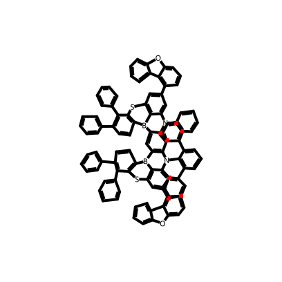 c1ccc(-c2ccc3c(c2-c2ccccc2)Sc2cc(-c4cccc5oc6ccccc6c45)cc4c2B3c2cc3c(cc2N4c2ccccc2)N(c2c(-c4ccccc4)cccc2-c2ccccc2)c2cc(-c4cccc5oc6ccccc6c45)cc4c2B3c2ccc(-c3ccccc3)c(-c3ccccc3)c2S4)cc1